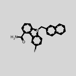 NC(=O)c1cccc2c1c1[c]c(F)ccc1n2Cc1ccc2ccccc2c1